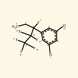 CCC(F)(c1cc(Cl)[c]c(Cl)c1)C(F)(F)C(F)(F)F